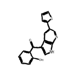 O=C(c1ccccc1O)c1c[nH]c2ncc(-c3cccs3)cc12